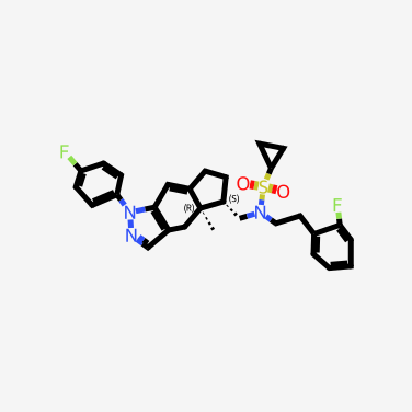 C[C@]12Cc3cnn(-c4ccc(F)cc4)c3C=C1CC[C@@H]2CN(CCc1ccccc1F)S(=O)(=O)C1CC1